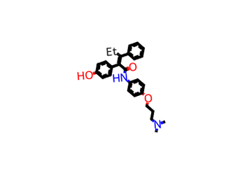 CC/C(=C(/C(=O)Nc1ccc(OCCCN(C)C)cc1)c1ccc(O)cc1)c1ccccc1